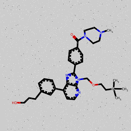 CN1CCN(C(=O)c2ccc(-c3nc4c(-c5cccc(CCCO)c5)ccnc4n3COCC[Si](C)(C)C)cc2)CC1